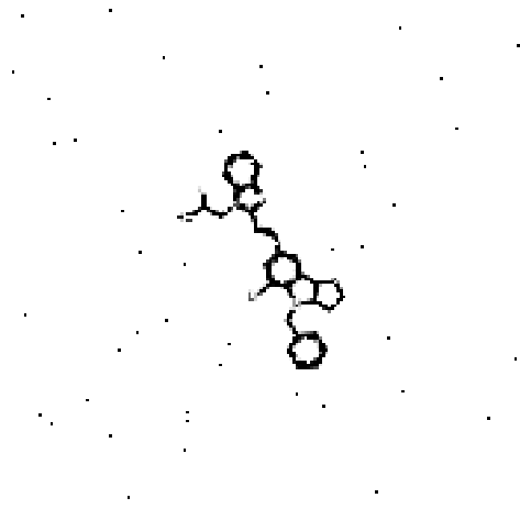 O=C(O)C[n+]1c(/C=C/c2cc(Br)c3c(c2)C2CCCC2N3Cc2ccccc2)sc2ccccc21